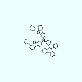 c1ccc(-c2c(-c3cccc(N(c4ccc5c(c4)oc4c(C6CCCCC6)cccc45)c4ccc5c(c4)oc4c(C6CCCCC6)cccc45)c3)c3ccccc3c3ccccc23)cc1